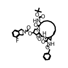 CC(C)(C)OC(=O)NC1CCCCC/C=C\C2CC2(C(=O)NOCc2ccccc2)NC(=O)[C@@H]2CC(OC(=O)N3Cc4cccc(F)c4C3)CN2C1=O